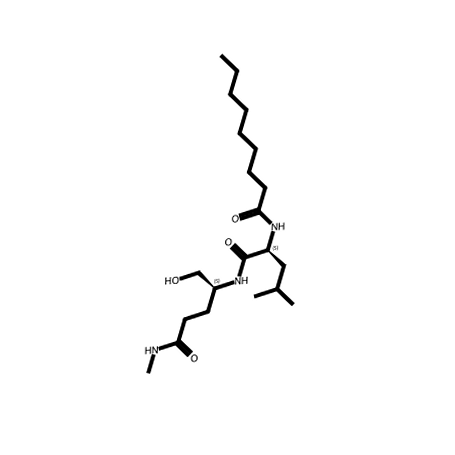 CCCCCCCCC(=O)N[C@@H](CC(C)C)C(=O)N[C@H](CO)CCC(=O)NC